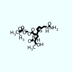 C[C@@H](O)[C@H]1C(=O)N2C(C(=O)OCOC(=O)C(C)(C)C)=C(c3ccc(CNC(N)=O)s3)C[C@H]12